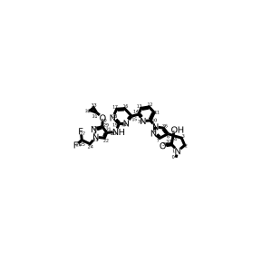 CN1CCC(O)(c2cnn(-c3cccc(-c4ccnc(Nc5cn(CC(F)F)nc5OC5CC5)n4)n3)c2)C1=O